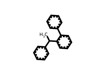 C[C](c1ccccc1)c1ccccc1-c1ccccc1